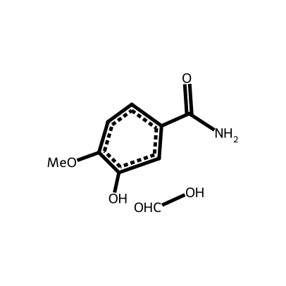 COc1ccc(C(N)=O)cc1O.O=CO